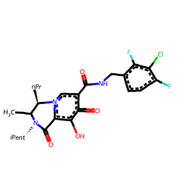 CCC[C@@H]1C(C)N([C@@H](C)CCC)C(=O)c2c(O)c(=O)c(C(=O)NCc3ccc(F)c(Cl)c3F)cn21